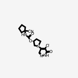 N#CC1(NC(=O)O[C@@H]2CCN(c3cn[nH]c(=O)c3Cl)C2)CCCC1